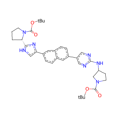 CC(C)(C)OC(=O)N1CCC(Nc2ncc(-c3ccc4cc(-c5c[nH]c([C@@H]6CCCN6C(=O)OC(C)(C)C)n5)ccc4c3)cn2)C1